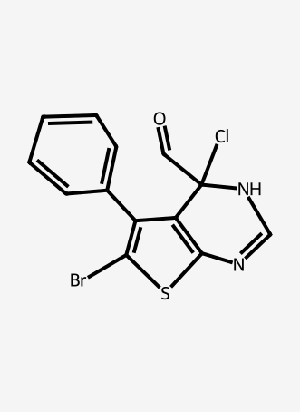 O=CC1(Cl)NC=Nc2sc(Br)c(-c3ccccc3)c21